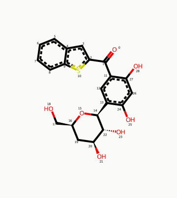 O=C(c1cc2ccccc2s1)c1cc([C@@H]2O[C@H](CO)C[C@H](O)[C@H]2O)c(O)cc1O